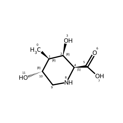 C[C@H]1[C@@H](O)[C@@H](C(=O)O)NC[C@@H]1O